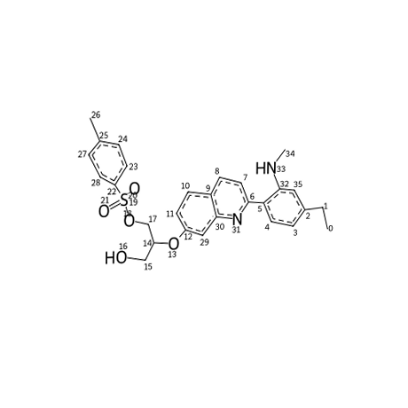 CCc1ccc(-c2ccc3ccc(OC(CO)COS(=O)(=O)c4ccc(C)cc4)cc3n2)c(NC)c1